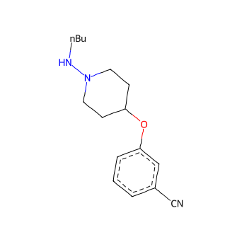 CCCCNN1CCC(Oc2cccc(C#N)c2)CC1